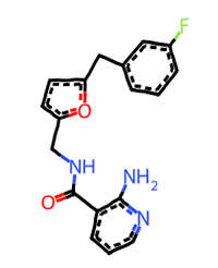 Nc1ncccc1C(=O)NCc1ccc(Cc2cccc(F)c2)o1